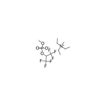 CC[N+](C)(CC)CC.COP(=O)([O-])OC(C(F)(F)F)C(F)(F)F